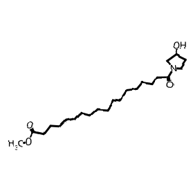 COC(=O)CCCCCCCCCCCCCCCCC(=O)N1CC[C@H](O)C1